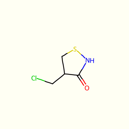 O=C1NSCC1CCl